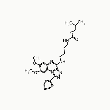 COc1cc2nc(NCCCCNC(=O)OCC(C)C)c3nnc(-c4ccccc4)n3c2cc1OC